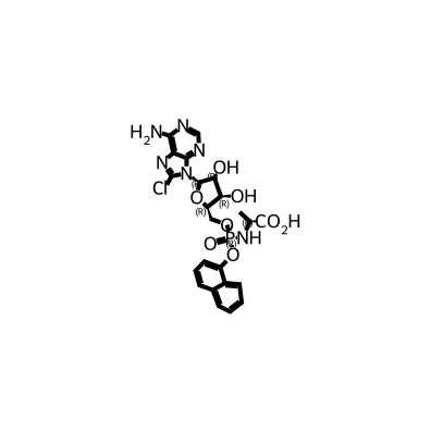 C[C@@H](N[P@@](=O)(OC[C@H]1O[C@@H](n2c(Cl)nc3c(N)ncnc32)[C@H](O)[C@H]1O)Oc1cccc2ccccc12)C(=O)O